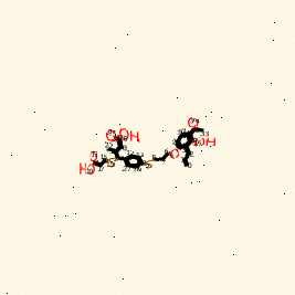 CCCc1c(OCCCSc2ccc(C(SCCC(=O)O)C(C)CC(=O)O)cc2)ccc(C(C)=O)c1O